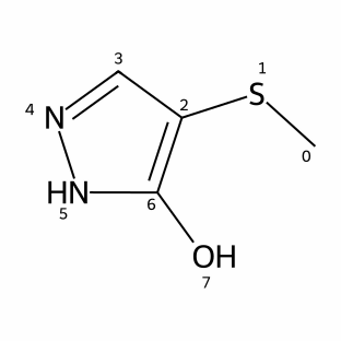 CSc1cn[nH]c1O